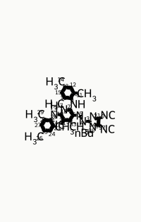 [C-]#[N+]c1nc(N=Nc2c(Nc3c(C)cc(C)cc3C)nc(Nc3c(C)cc(C)cc3C)c(C#N)c2C)n(CCCC)c1[N+]#[C-]